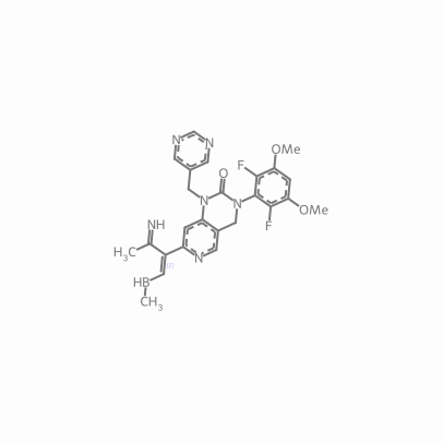 CB/C=C(\C(C)=N)c1cc2c(cn1)CN(c1c(F)c(OC)cc(OC)c1F)C(=O)N2Cc1cncnc1